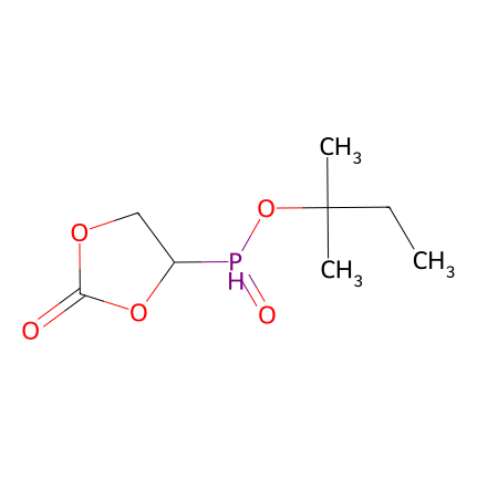 CCC(C)(C)O[PH](=O)C1COC(=O)O1